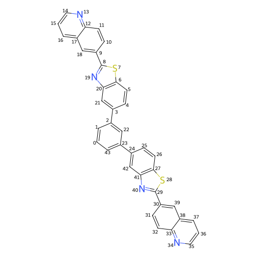 c1cc(-c2ccc3sc(-c4ccc5ncccc5c4)nc3c2)cc(-c2ccc3sc(-c4ccc5ncccc5c4)nc3c2)c1